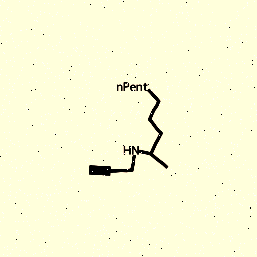 C#CCNC(C)CCCCCCCC